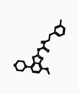 COc1ccc(N2CCOCC2)c2sc(OC(=O)NCCc3cccc(C)c3)nc12